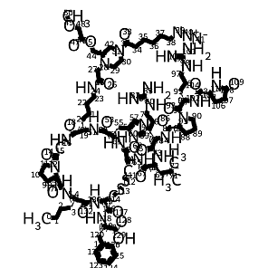 CCCC[C@@H]1NC(=O)[C@@H]2CCCN2C(=O)CNC(=O)[C@H](CCCCNC(=O)CN2CCN(C(=O)CCCCCN=[N+]=[N-])CC2COC(=O)COC)NC(=O)[C@H](Cc2cnc[nH]2)NC(=O)[C@@H](NC(=O)[C@H](CC(C)C)NC(=O)[C@H](CCCNC(=N)N)NC(=O)[C@@H]2CCCN2C(=O)[C@H](CCCNC(=N)N)NC(=O)[C@@H]2CCC(=O)N2)CSSC[C@@H](C(=O)N[C@@H](Cc2ccccc2)C(=O)O)NC1=O